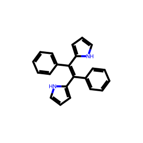 c1ccc(C(=C(c2ccccc2)c2ccc[nH]2)c2ccc[nH]2)cc1